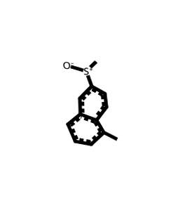 Cc1cccc2cc([S+](C)[O-])ccc12